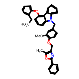 COc1cc(Cn2c3ccccc3c3c(Oc4ccccc4CC(=O)O)cccc32)ccc1OCc1nc(-c2ccccc2)oc1C